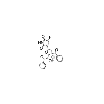 O=C(c1ccccc1)C(O)[C@H]1O[C@@H](n2cc(F)c(=O)[nH]c2=O)C[C@@]1(O)C(=O)c1ccccc1